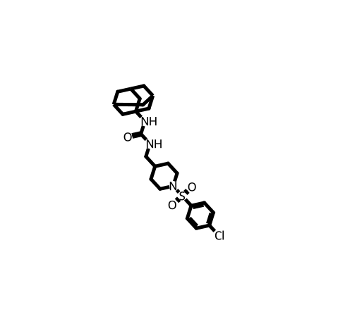 O=C(NCC1CCN(S(=O)(=O)c2ccc(Cl)cc2)CC1)NC12CC3CC(CC(C3)C1)C2